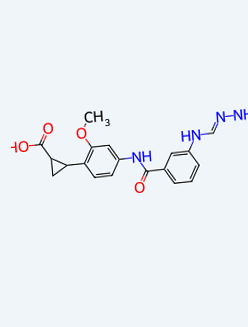 COc1cc(NC(=O)c2cccc(NC=NN)c2)ccc1C1CC1C(=O)O